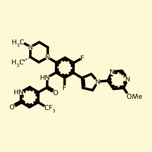 COc1cc(N2CC=C(c3c(F)cc(N4CCN(C)[C@@H](C)C4)c(NC(=O)c4c[nH]c(=O)cc4C(F)(F)F)c3F)C2)ncn1